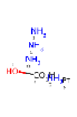 N.N.N.N.O=C(O)O.[Pt]